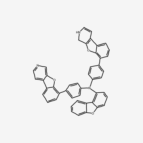 C1=Cc2c(oc3c(-c4ccc(N(c5ccc(-c6cccc7c6oc6cnccc67)cc5)c5cccc6oc7ccccc7c56)cc4)cccc23)CN1